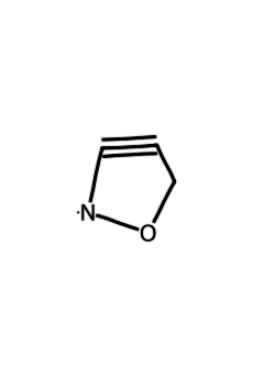 C1#C[N]OC1